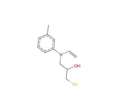 C=CN(CC(O)CS)c1cccc(C)c1